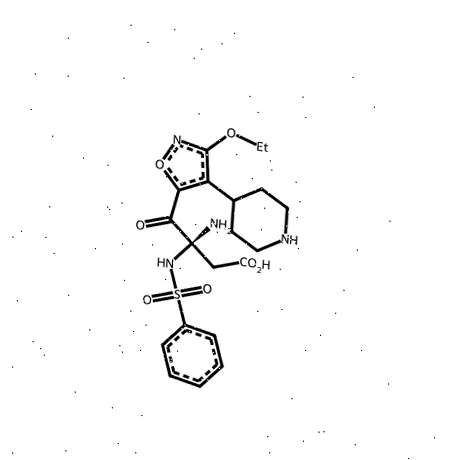 CCOc1noc(C(=O)[C@](N)(CC(=O)O)NS(=O)(=O)c2ccccc2)c1C1CCNCC1